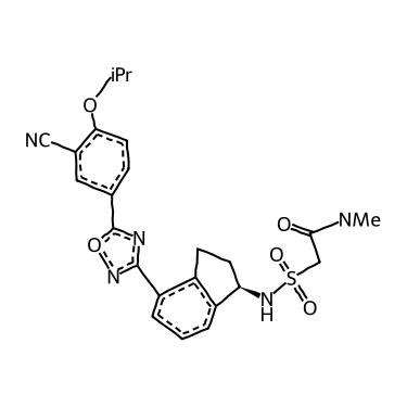 CNC(=O)CS(=O)(=O)N[C@@H]1CCc2c(-c3noc(-c4ccc(OC(C)C)c(C#N)c4)n3)cccc21